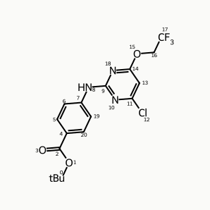 CC(C)(C)OC(=O)c1ccc(Nc2nc(Cl)cc(OCC(F)(F)F)n2)cc1